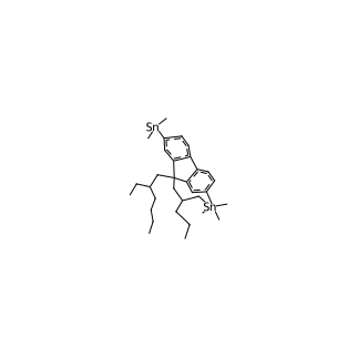 CCCCC(CC)CC1(CC(CC)CCC)c2c[c]([Sn]([CH3])([CH3])[CH3])ccc2-c2cc[c]([Sn]([CH3])([CH3])[CH3])cc21